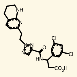 O=C(O)CC(NC(=O)c1cnn(CCc2ccc3c(n2)NCCC3)n1)c1cc(Cl)cc(Cl)c1